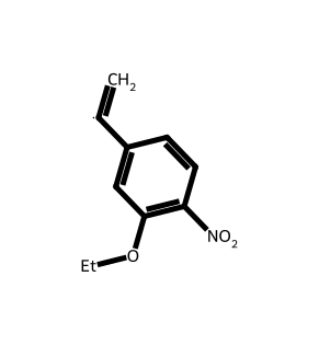 C=[C]c1ccc([N+](=O)[O-])c(OCC)c1